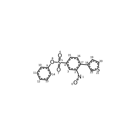 O=Nc1cc(S(=O)(=O)Oc2ccccc2)ccc1-c1ccsc1